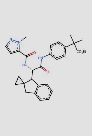 CCOC(=O)C(C)(C)c1ccc(NC(=O)[C@@H](NC(=O)c2ccnn2C)C2c3ccccc3CC23CC3)cc1